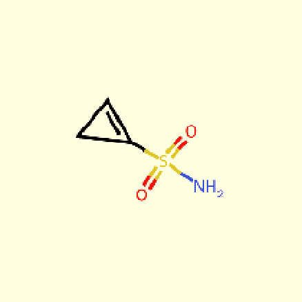 NS(=O)(=O)C1=CC1